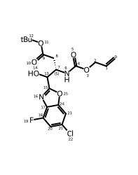 C=CCOC(=O)N[C@@H](CC(=O)OC(C)(C)C)C(O)c1nc2c(F)cc(Cl)cc2o1